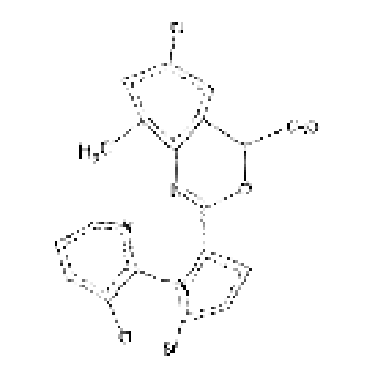 Cc1cc(Cl)cc2c1N=C(c1ccc(Br)n1-c1ncccc1Cl)OC2C=O